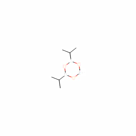 CC(C)B1OBOB(C(C)C)O1